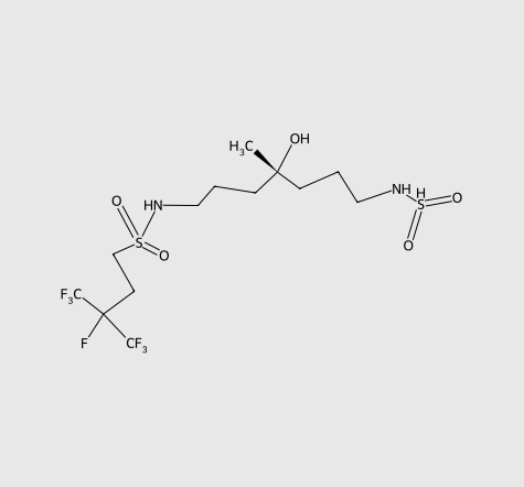 C[C@@](O)(CCCN[SH](=O)=O)CCCNS(=O)(=O)CCC(F)(C(F)(F)F)C(F)(F)F